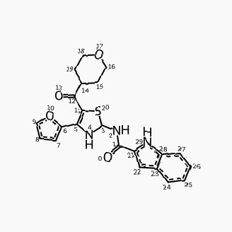 O=C(NC1NC(c2ccco2)=C(C(=O)C2CCOCC2)S1)c1cc2ccccc2[nH]1